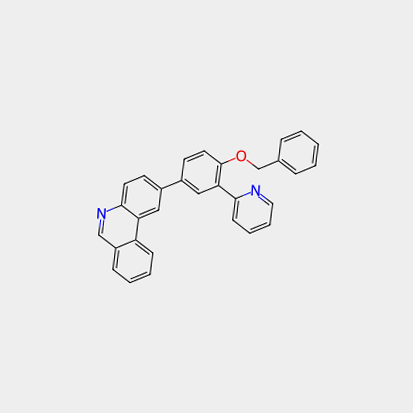 c1ccc(COc2ccc(-c3ccc4ncc5ccccc5c4c3)cc2-c2ccccn2)cc1